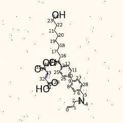 C=CCN(C)Cc1ccc(-c2ccc(C(=O)CCCCCCCCO)cc2)cc1.O=C(O)/C=C/C(=O)O